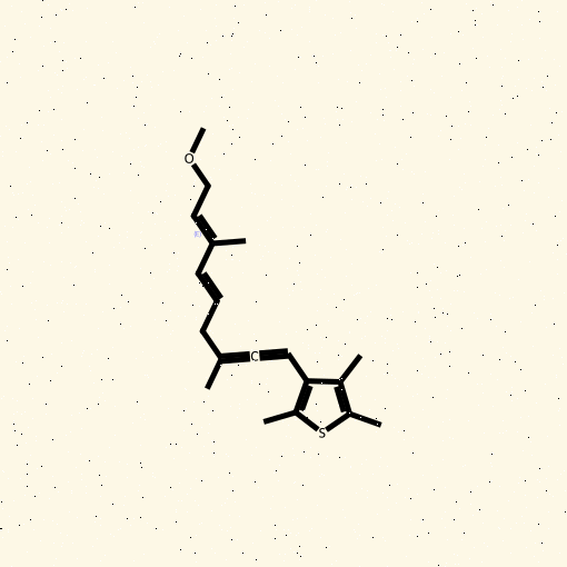 COC/C=C(\C)C=CCC(C)=C=Cc1c(C)sc(C)c1C